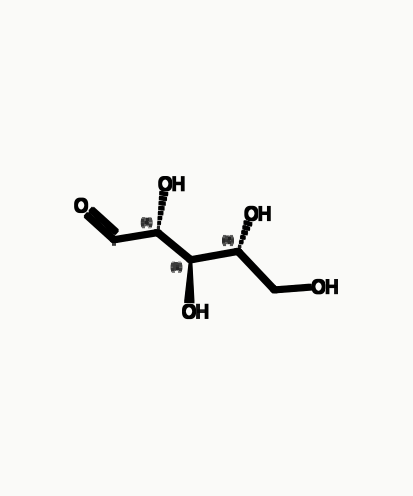 O=[C][C@H](O)[C@H](O)[C@H](O)CO